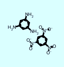 Nc1cc(N)cc(N)c1.O=[N+]([O-])c1cc([N+](=O)[O-])cc([N+](=O)[O-])c1